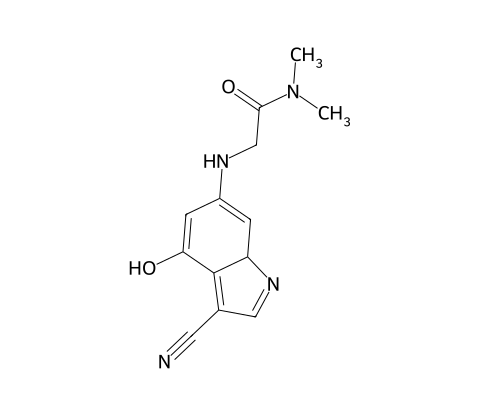 CN(C)C(=O)CNC1=CC2N=CC(C#N)=C2C(O)=C1